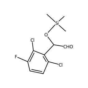 C[Si](C)(C)OC(C=O)c1c(Cl)ccc(F)c1Cl